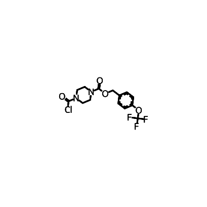 O=C(Cl)N1CCN(C(=O)OCc2ccc(OC(F)(F)F)cc2)CC1